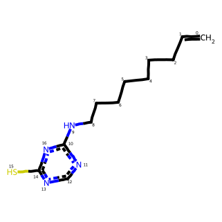 C=CCCCCCCCNc1ncnc(S)n1